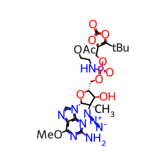 COc1nc(N)nc2c1ncn2[C@@H]1O[C@H](COP(=O)(NCCOC(C)=O)OCc2oc(=O)oc2C(C)(C)C)[C@@H](O)[C@@]1(C)N=[N+]=[N-]